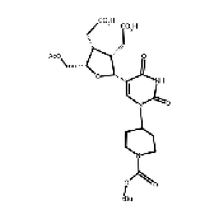 CC(=O)OC[C@H]1O[C@@H](c2cn(C3CCN(C(=O)OC(C)(C)C)CC3)c(=O)[nH]c2=O)[C@@H](CC(=O)O)[C@H]1CC(=O)O